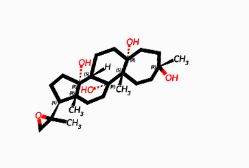 CC1([C@H]2CC[C@@]3(O)[C@@H]4CC[C@@]5(O)CC[C@](C)(O)CC[C@]5(C)[C@@]4(O)CC[C@]23C)CO1